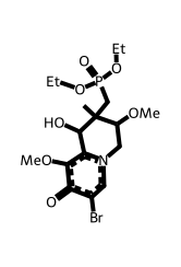 CCOP(=O)(CC1(C)C(OC)Cn2cc(Br)c(=O)c(OC)c2C1O)OCC